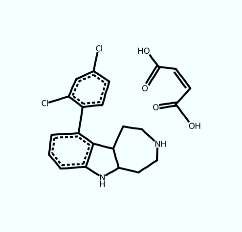 Clc1ccc(-c2cccc3c2C2CCNCCC2N3)c(Cl)c1.O=C(O)/C=C\C(=O)O